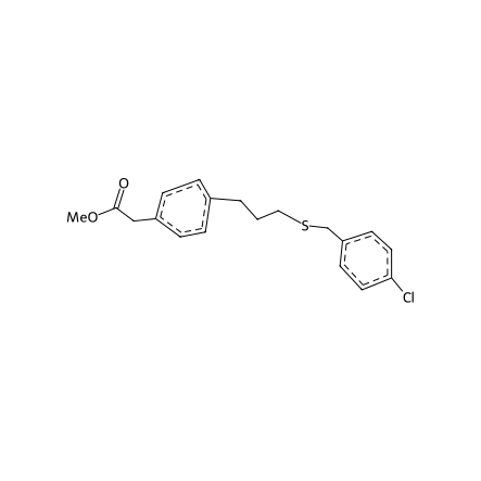 COC(=O)Cc1ccc(CCCSCc2ccc(Cl)cc2)cc1